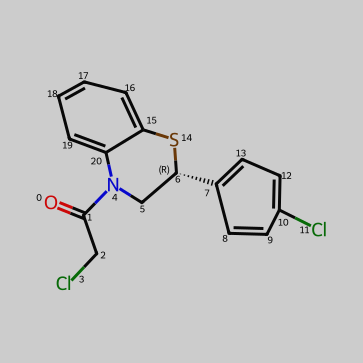 O=C(CCl)N1C[C@@H](c2ccc(Cl)cc2)Sc2ccccc21